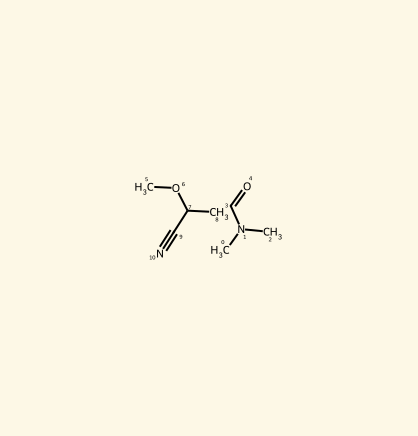 CN(C)C=O.COC(C)C#N